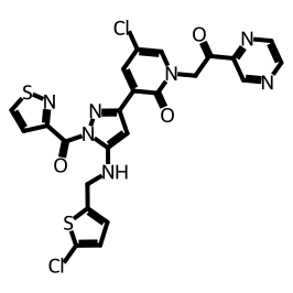 O=C(Cn1cc(Cl)cc(-c2cc(NCc3ccc(Cl)s3)n(C(=O)c3ccsn3)n2)c1=O)c1cnccn1